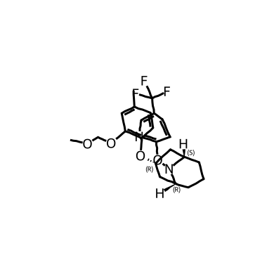 COCOc1cc(C)ccc1O[C@H]1C[C@H]2CCC[C@@H](C1)N2Oc1ccc(C(F)(F)F)cn1